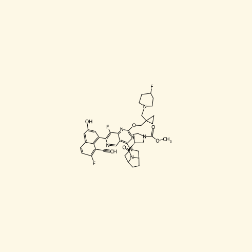 C#Cc1c(F)ccc2cc(O)cc(-c3ncc4c(N5CC6CCC(C5)N6C(=O)[C@H]5CCN(C(=O)OC)C5)nc(OCC5(CN6CCC(F)CC6)CC5)nc4c3F)c12